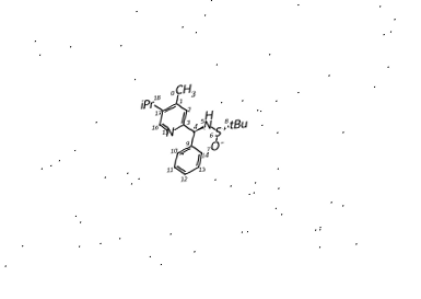 Cc1cc([C@@H](N[S@+]([O-])C(C)(C)C)c2ccccc2)ncc1C(C)C